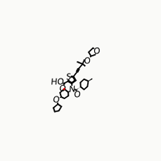 CC(C)(C#Cc1cc(N(C(=O)[C@H]2CC[C@H](C)CC2)[C@H]2CC[C@H](OC3CCCC3)CC2)c(C(=O)O)s1)COC1CCOC1